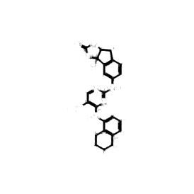 Cc1cnc(Nc2ccc3c(c2)[C@@H]2NC(=O)OC2C3)nc1Nc1cccc2c1CCCC2